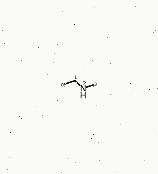 [CH2]CN[CH2]